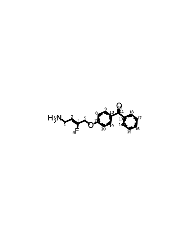 NCC=C(F)COc1ccc(C(=O)c2ccccc2)cc1